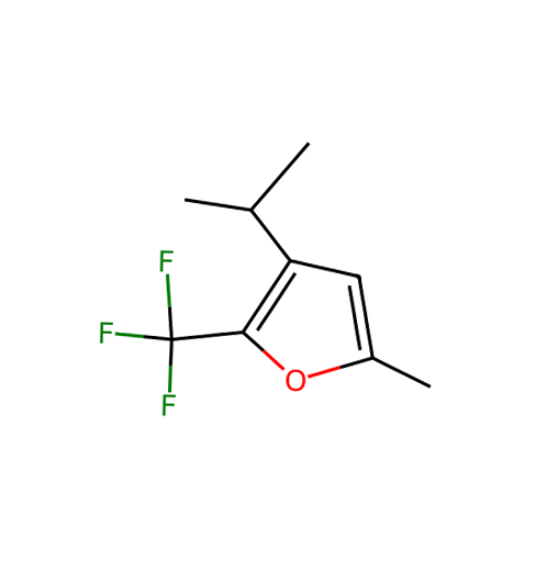 Cc1cc(C(C)C)c(C(F)(F)F)o1